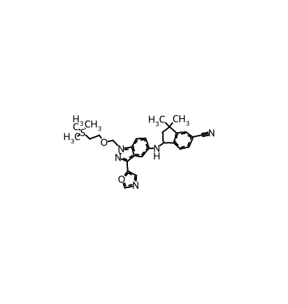 CC1(C)CC(Nc2ccc3c(c2)c(-c2cnco2)nn3COCCS(C)(C)C)c2ccc(C#N)cc21